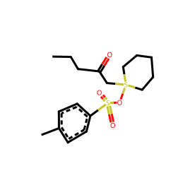 CCCC(=O)CS1(OS(=O)(=O)c2ccc(C)cc2)CCCCC1